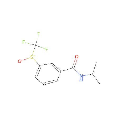 CC(C)NC(=O)c1cccc([S+]([O-])C(F)(F)F)c1